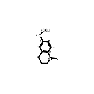 CN1CCCc2cc(OC(=O)O)ccc21